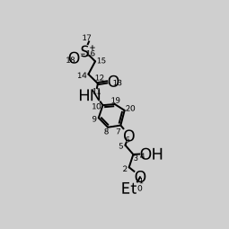 CCOCC(O)COc1ccc(NC(=O)CC[S+](C)[O-])cc1